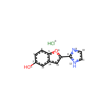 Cl.Oc1ccc2oc(-c3ncc[nH]3)cc2c1